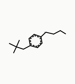 CCC[CH]c1ccc(CC(C)(C)C)cc1